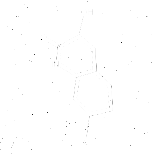 O=c1[nH]c2cc(Cl)ccc2cc1O